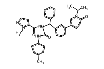 Cc1ccc(NC(=O)C(NC(=O)c2ccnn2C)C(c2ccccc2)c2cccc(-c3ccc(=O)n(C(C)C)c3)c2)cc1